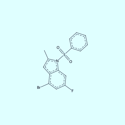 Cc1cc2c(Br)cc(F)cc2n1S(=O)(=O)c1ccccc1